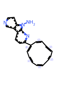 Nn1c2ccncc2c2ccc(C3=C/C=C\C=C/C=C\C=C/C=C\3)nc21